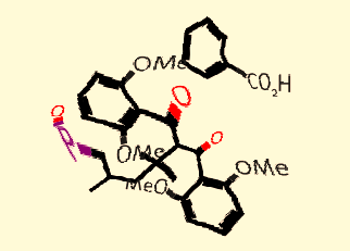 COc1cccc(OC)c1C(=O)C(C(=O)c1c(OC)cccc1OC)C(C)(C)CC(C)CP=O.O=C(O)c1ccccc1